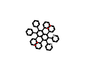 c1ccc(-c2c(-c3ccccc3)c(-c3ccccc3)c3c(-c4ccccc4)c(-c4ccccn4)c(-c4ccccn4)c(-c4ccccc4)c3c2-c2ccccc2)cc1